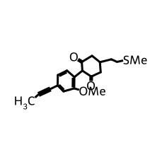 CC#Cc1ccc(C2C(=O)CC(CCSC)CC2=O)c(OC)c1